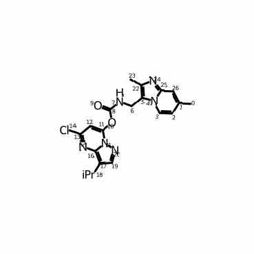 Cc1ccn2c(CNC(=O)Oc3cc(Cl)nc4c(C(C)C)cnn34)c(C)nc2c1